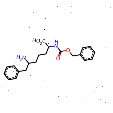 NC(CCC[C@H](NC(=O)OCc1ccccc1)C(=O)O)Cc1ccccc1